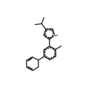 Cc1ccc(C2C=CC=CC2)cc1-c1cc(C(C)C)c[nH]1